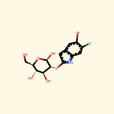 OC[C@H]1O[C@@H](O)[C@H](Oc2cc3cc(Br)c(Cl)cc3[nH]2)[C@@H](O)[C@@H]1O